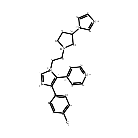 Clc1ccc(-c2ncn(CCN3CCC(n4ccnc4)C3)c2-c2ccncc2)cc1